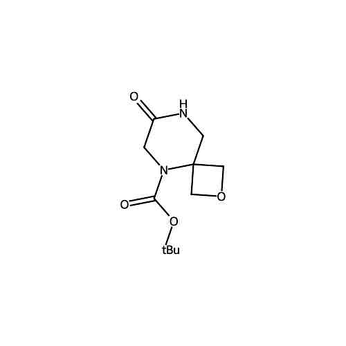 CC(C)(C)OC(=O)N1CC(=O)NCC12COC2